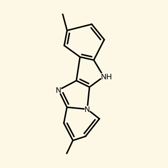 Cc1ccc2[nH]c3c(nc4cc(C)ccn43)c2c1